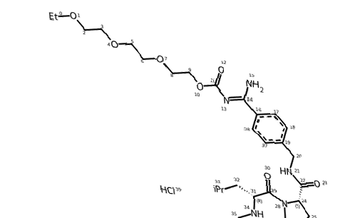 CCOCCOCCOCCOC(=O)N=C(N)c1ccc(CNC(=O)[C@@H]2CCCN2C(=O)[C@@H](CC(C)C)NCC(=O)OCC)cc1.Cl